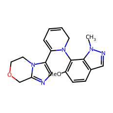 COc1ccc2cnn(C)c2c1N1CC=CC=C1c1cnc2n1CCOC2